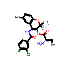 CC(=O)c1ccc2c(c1)[C@H](NC(=O)c1ccc(F)c(Cl)c1)[C@H](OC(=O)[C@@H](N)CC(C)C)C(C)(C)O2